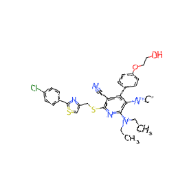 [C-]#[N+]c1c(N(CC)CC)nc(SCc2csc(-c3ccc(Cl)cc3)n2)c(C#N)c1-c1ccc(OCCO)cc1